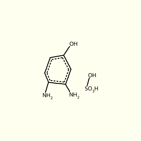 Nc1ccc(O)cc1N.O=S(=O)(O)O